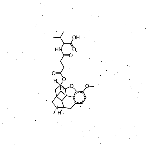 COc1ccc2c3c1O[C@H]1[C@@H](OC(=O)CCC(=O)NC(C(=O)O)C(C)C)CC45CN(C)[C@H](C2)C4[C@@]31C5